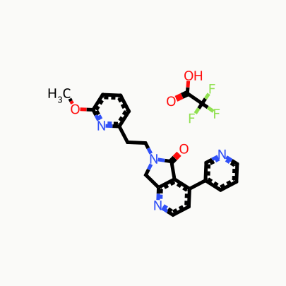 COc1cccc(CCN2Cc3nccc(-c4cccnc4)c3C2=O)n1.O=C(O)C(F)(F)F